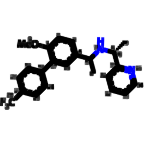 COc1ccc(C(C)N[C@H](C)c2ccccn2)cc1-c1ccc(C(F)(F)F)cc1